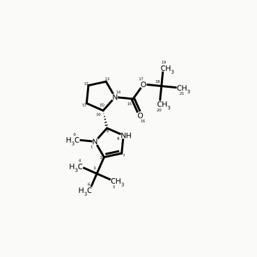 CN1C(C(C)(C)C)=CNC1[C@@H]1CCCN1C(=O)OC(C)(C)C